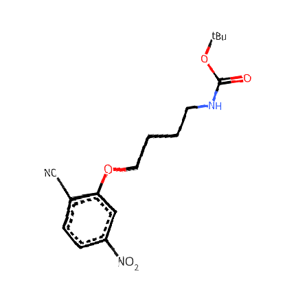 CC(C)(C)OC(=O)NCCCCOc1cc([N+](=O)[O-])ccc1C#N